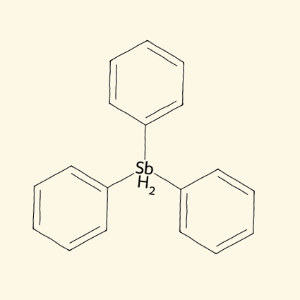 c1cc[c]([SbH2]([c]2ccccc2)[c]2ccccc2)cc1